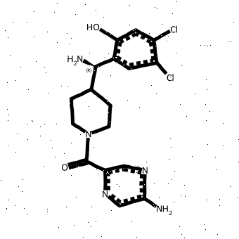 Nc1cnc(C(=O)N2CCC([C@@H](N)c3cc(Cl)c(Cl)cc3O)CC2)cn1